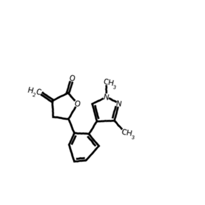 C=C1CC(c2ccccc2-c2cn(C)nc2C)OC1=O